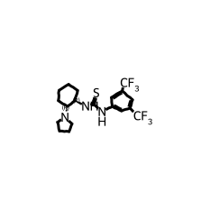 FC(F)(F)c1cc(NC(=S)N[C@@H]2CCCC[C@H]2N2CCCC2)cc(C(F)(F)F)c1